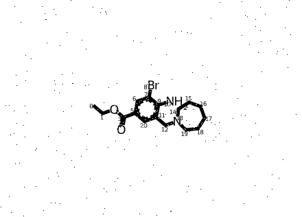 CCOC(=O)c1cc(Br)c(N)c(CN2CCCCCC2)c1